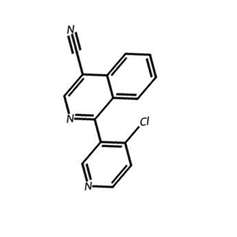 N#Cc1cnc(-c2cnccc2Cl)c2ccccc12